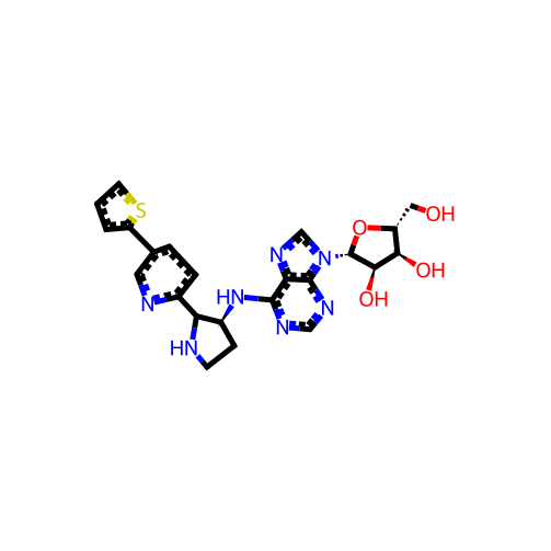 OC[C@H]1O[C@@H](n2cnc3c(N[C@H]4CCNC4c4ccc(-c5cccs5)cn4)ncnc32)[C@H](O)[C@@H]1O